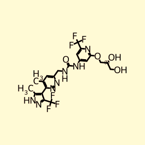 Cc1cc(CNC(=O)Nc2cc(OC[C@@H](O)CO)nc(C(F)(F)F)c2)nnc1-c1c(C(F)(F)F)n[nH]c1C